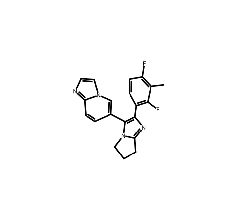 Cc1c(F)ccc(-c2nc3n(c2-c2ccc4nccn4c2)CCC3)c1F